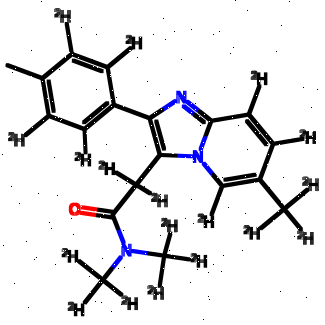 [2H]c1c([2H])c(-c2nc3c([2H])c([2H])c(C([2H])([2H])[2H])c([2H])n3c2C([2H])([2H])C(=O)N(C([2H])([2H])[2H])C([2H])([2H])[2H])c([2H])c([2H])c1C